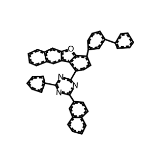 c1ccc(-c2cccc(-c3ccc(-c4nc(-c5ccccc5)nc(-c5ccc6ccccc6c5)n4)c4c3oc3cc5ccccc5cc34)c2)cc1